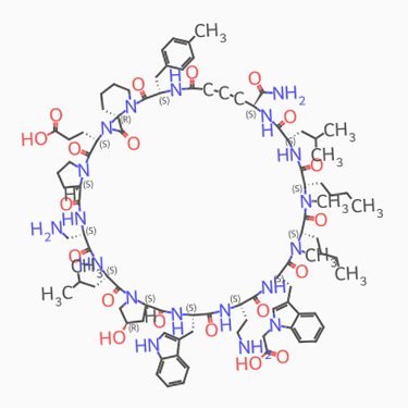 CCCC[C@H]1C(=O)N(C)[C@@H](CCCC)C(=O)N[C@@H](CC(C)C)C(=O)N[C@H](C(N)=O)CCCC(=O)N[C@@H](Cc2ccc(C)cc2)C(=O)N2CCCC[C@@]23C(=O)N3[C@@H](CCC(=O)O)C(=O)N2CCC[C@H]2C(=O)N[C@@H](CN)C(=O)N[C@@H](CC(C)C)C(=O)N2C[C@H](O)C[C@H]2C(=O)N[C@@H](Cc2c[nH]c3ccccc23)C(=O)N[C@@H](CCN)C(=O)N[C@@H](Cc2cn(CC(=O)O)c3ccccc23)C(=O)N1C